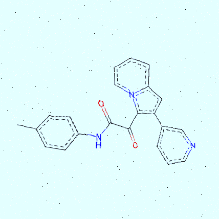 Cc1ccc(NC(=O)C(=O)c2c(-c3cccnc3)cc3ccccn23)cc1